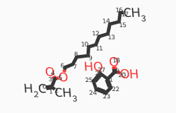 C=C(C)C(=O)OCCCCCCCCCCCC.O=C(O)c1ccccc1O